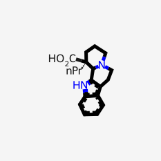 CCC[C@]1(C(=O)O)CCCN2CCc3c([nH]c4ccccc34)C21